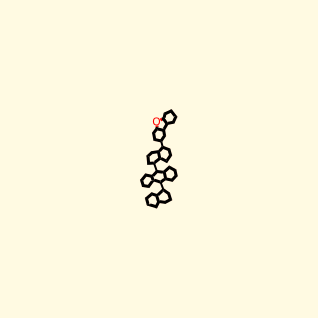 c1ccc2c(-c3c4ccccc4c(-c4cccc5c(-c6ccc7oc8ccccc8c7c6)cccc45)c4ccccc34)cccc2c1